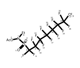 CCN(OC(C)=O)S(=O)(=O)C(F)(F)C(F)(F)C(F)(F)C(F)(F)C(F)(F)C(F)(F)C(F)(F)C(F)(F)F